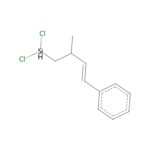 CC(C=Cc1ccccc1)C[SiH](Cl)Cl